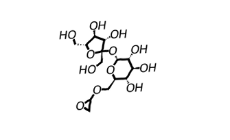 OC[C@H]1O[C@@](CO)(O[C@H]2O[C@H](COC3CO3)[C@@H](O)[C@H](O)[C@H]2O)[C@@H](O)[C@@H]1O